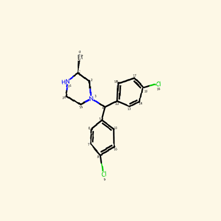 CC[C@H]1CN(C(c2ccc(Cl)cc2)c2ccc(Cl)cc2)CCN1